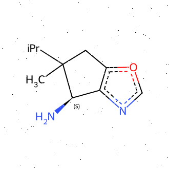 CC(C)C1(C)Cc2ocnc2[C@H]1N